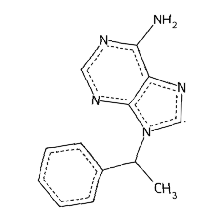 CC(c1ccccc1)n1[c]nc2c(N)ncnc21